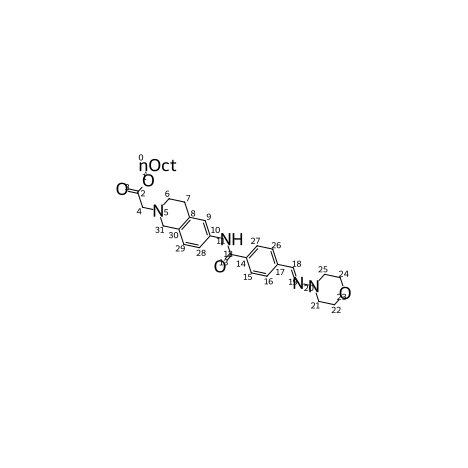 CCCCCCCCOC(=O)CN1CCc2cc(NC(=O)c3ccc(C=NN4CCOCC4)cc3)ccc2C1